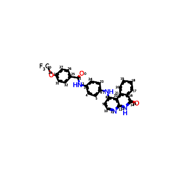 O=C(Nc1ccc(Nc2ccnc3[nH]c(=O)c4ccccc4c23)cc1)c1ccc(OC(F)(F)F)cc1